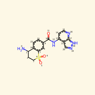 NC1CCS(=O)(=O)c2cc(C(=O)Nc3ccnc4[nH]ncc34)ccc21